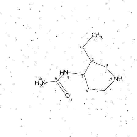 CCC1CNCCC1NC(N)=O